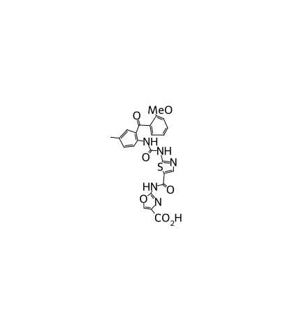 COc1ccccc1C(=O)c1cc(C)ccc1NC(=O)Nc1ncc(C(=O)Nc2nc(C(=O)O)co2)s1